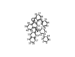 c1ccc(-c2cccc(N(c3ccc4ccccc4c3)c3cc4c(oc5cccc(-c6ccccc6)c54)c4ccccc34)c2)cc1